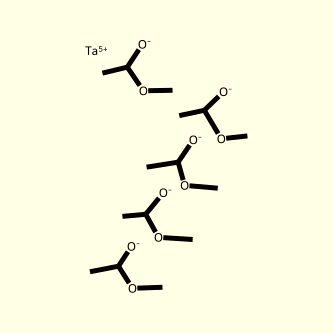 COC(C)[O-].COC(C)[O-].COC(C)[O-].COC(C)[O-].COC(C)[O-].[Ta+5]